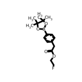 CC1(C)OB(c2ccc(CC(=O)OCCF)cc2)OC1(C)C